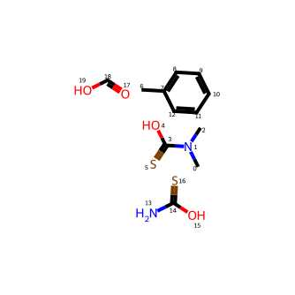 CN(C)C(O)=S.Cc1ccccc1.NC(O)=S.O=CO